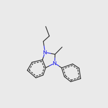 CCCN1c2ccccc2N(c2ccccc2)C1C